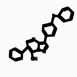 Oc1c(-c2ccccc2)cnc2c(-c3ccc(Sc4ccccc4)cc3)cnn12